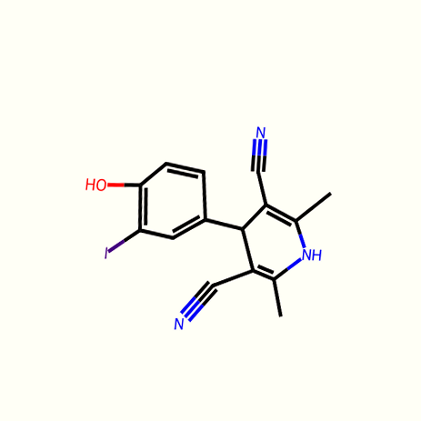 CC1=C(C#N)C(c2ccc(O)c(I)c2)C(C#N)=C(C)N1